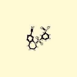 N#Cc1ccc2c(c1)N(S(=O)(=O)c1cccc([N+](=O)[O-])c1)CCCC2